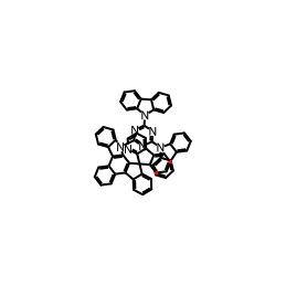 c1ccc2c(c1)-c1cccnc1C21c2ccccc2-c2c1c1c(c3ccccc23)c2ccccc2n1-c1nc(-n2c3ccccc3c3ccccc32)nc(-n2c3ccccc3c3ccccc32)n1